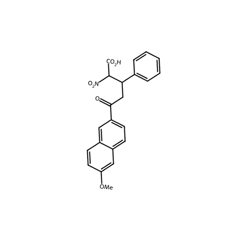 COc1ccc2cc(C(=O)CC(c3ccccc3)C(C(=O)O)[N+](=O)[O-])ccc2c1